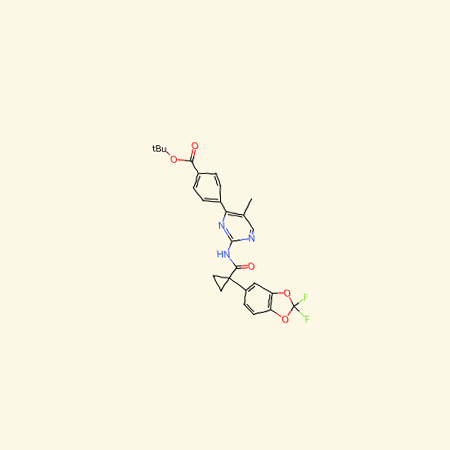 Cc1cnc(NC(=O)C2(c3ccc4c(c3)OC(F)(F)O4)CC2)nc1-c1ccc(C(=O)OC(C)(C)C)cc1